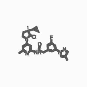 Cc1cnn(-c2cc(F)cc(CC(=O)Nc3cc(N4CC[C@@](C)(C5CC5)C4=O)cc(C)n3)c2)c1